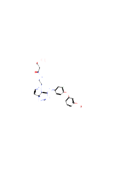 O=C(CCO)NCCn1ccc2ncnc(Nc3ccc(Oc4cccc(OC(F)(F)F)c4)c(Cl)c3)c21